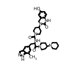 Cc1cc(CC(NC(=O)N2CCC(N3Cc4cc(O)ccc4NC3=O)CC2)C(=O)N2CCC(N3CCCCC3)CC2)cc2cn[nH]c12